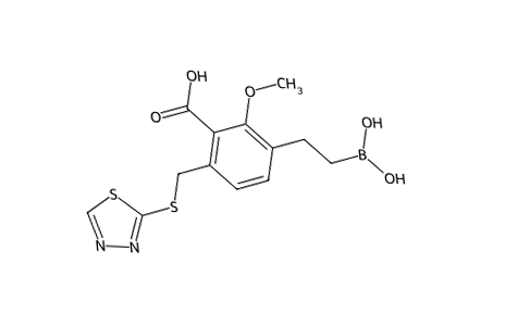 COc1c(CCB(O)O)ccc(CSc2nncs2)c1C(=O)O